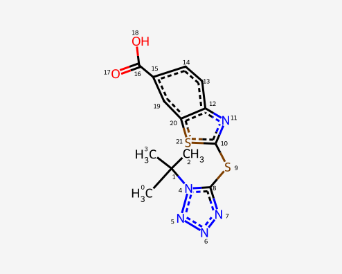 CC(C)(C)n1nnnc1Sc1nc2ccc(C(=O)O)cc2s1